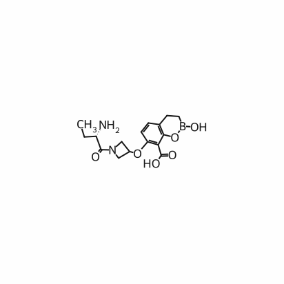 CC[C@H](N)C(=O)N1CC(Oc2ccc3c(c2C(=O)O)OB(O)CC3)C1